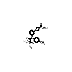 COC(=O)C1CN(c2cccc(N3C(=O)C(C)(C)Oc4cc(C)ccc43)c2)C1